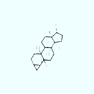 CC(=O)[C@H]1CC[C@H]2[C@@H]3CC[C@@H]4C5C[C@@]5(O)CC[C@@H]4[C@H]3CC[C@]12C